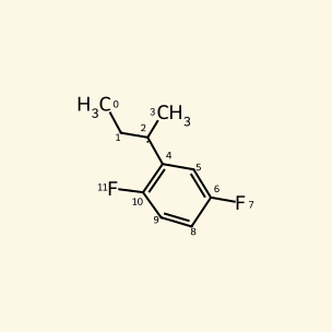 CC[C](C)c1cc(F)ccc1F